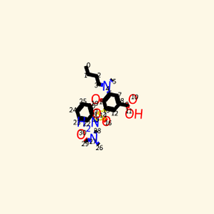 CCCCN(C)c1cc(C(=O)O)cc(S(N)(=O)=O)c1Oc1ccccc1.CN(C)C=O